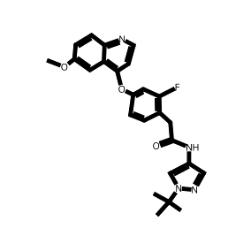 COc1ccc2nccc(Oc3ccc(CC(=O)Nc4cnn(C(C)(C)C)c4)c(F)c3)c2c1